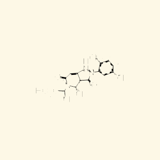 CC(C(=O)O)N1C(=O)C=C2NN(c3cc(Cl)ccc3Cl)C(=O)C2C1C